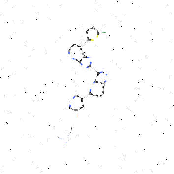 CN(C)CCOc1cncc(-c2ccc3[nH]nc(-c4nc5c(-c6ccc(Cl)s6)ccnc5[nH]4)c3n2)c1